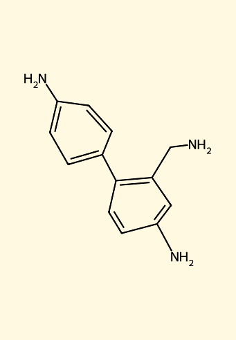 NCc1cc(N)ccc1-c1ccc(N)cc1